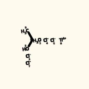 CCO.O.[Cl-].[Cl-].[Cl-].[Cl-].[Ti+4]